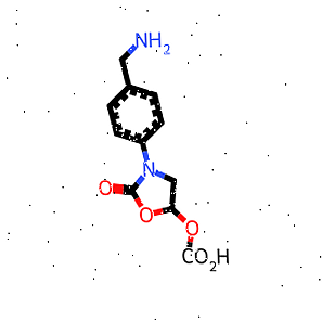 NCc1ccc(N2CC(OC(=O)O)OC2=O)cc1